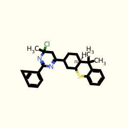 CC1(Cl)CC(C2CC[C@@H]3C(C2)Sc2ccccc2C3(C)C)=NC(c2cccc3c2C3)=N1